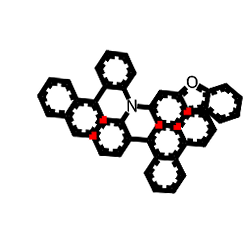 c1ccc(N(c2ccc3c(c2)oc2ccccc23)c2ccccc2-c2cc3ccccc3c3ccccc23)c(-c2cccc3ccccc23)c1